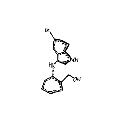 OCc1ccccc1Nc1c[nH]c2ccc(Br)cc12